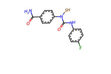 NC(=O)c1ccc(N(S)C(=O)Nc2ccc(F)cc2)cc1